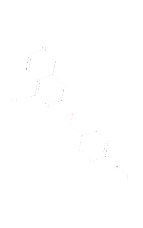 Oc1nc(OCC2C=CC(C(F)(F)F)=CC2)nc2cnccc12